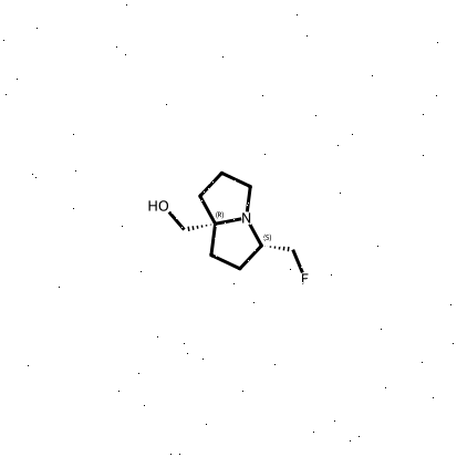 OC[C@]12CCCN1[C@H](CF)CC2